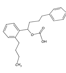 CCCCc1ccccc1C(CCCc1ccccc1)OC(=O)O